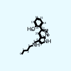 CCCCNCc1c[nH]c2nnc(-c3ccccc3O)cc12